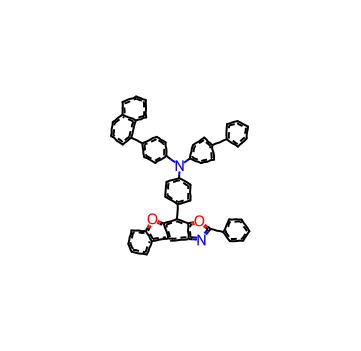 c1ccc(-c2ccc(N(c3ccc(-c4cccc5ccccc45)cc3)c3ccc(-c4c5oc(-c6ccccc6)nc5cc5c4oc4ccccc45)cc3)cc2)cc1